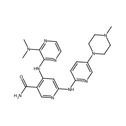 CN1CCN(c2ccc(Nc3cc(Nc4nccnc4N(C)C)c(C(N)=O)cn3)nc2)CC1